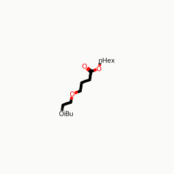 CCCCCCOC(=O)CCCOCCOCC(C)C